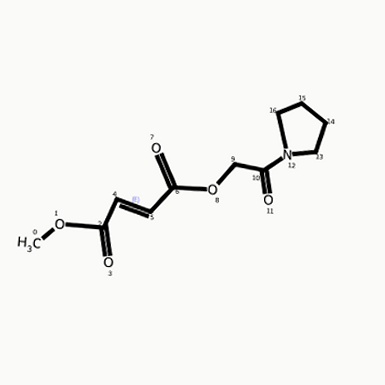 COC(=O)/C=C/C(=O)OCC(=O)N1CCCC1